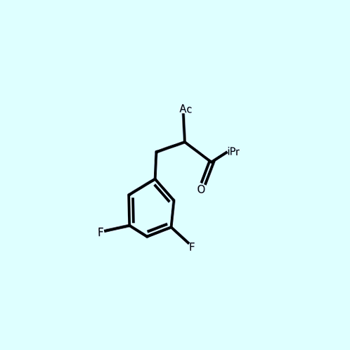 CC(=O)C(Cc1cc(F)cc(F)c1)C(=O)C(C)C